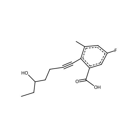 CCC(O)CCC#Cc1c(C)cc(F)cc1C(=O)O